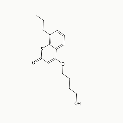 CCCc1cccc2c(OCCCCO)cc(=O)sc12